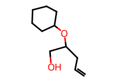 C=CCC(CO)OC1CCCCC1